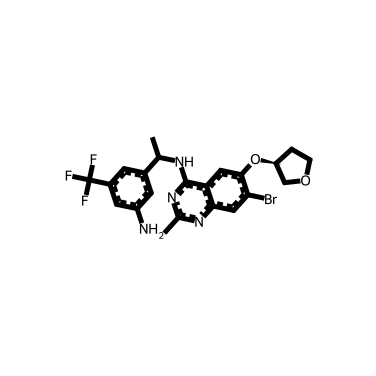 Cc1nc(NC(C)c2cc(N)cc(C(F)(F)F)c2)c2cc(O[C@H]3CCOC3)c(Br)cc2n1